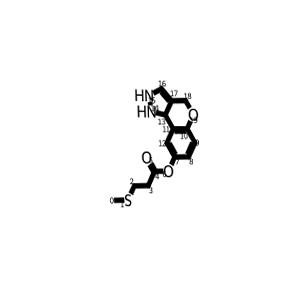 CSCCC(=O)Oc1ccc2c(c1)C1NNC=C1CO2